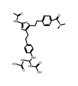 CC(=O)Nc1nc(CCc2ccc(NC(NC(=O)O)NC(=O)O)cc2)c(CCc2ccc(C(=O)N(C)C)cc2)s1